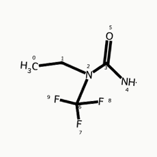 CCN(C([NH])=O)C(F)(F)F